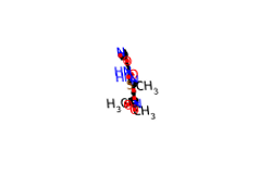 COc1cc(C#Cc2sc(NC(=O)NCCOc3ccncc3)nc2C)cnc1OC